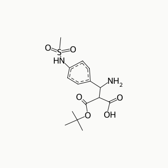 CC(C)(C)OC(=O)C(C(=O)O)C(N)c1ccc(NS(C)(=O)=O)cc1